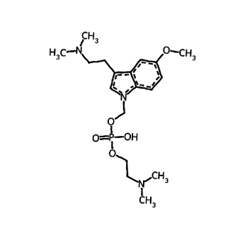 COc1ccc2c(c1)c(CCN(C)C)cn2COP(=O)(O)OCCN(C)C